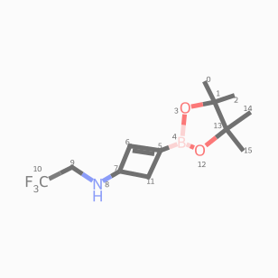 CC1(C)OB(C2=CC(NCC(F)(F)F)C2)OC1(C)C